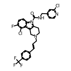 O=C(NCc1ccnc(Cl)c1)n1c2c(c3c(Cl)c(F)ccc31)CN(CC=Cc1ccc(C(F)(F)F)cc1)CC2